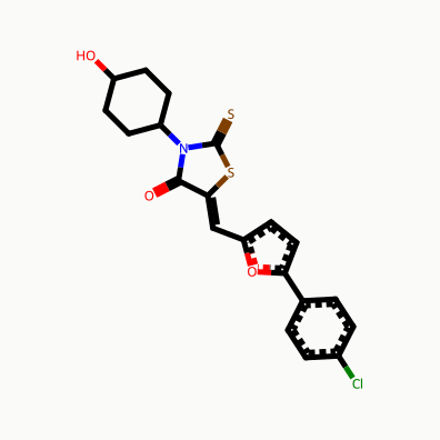 O=C1C(=Cc2ccc(-c3ccc(Cl)cc3)o2)SC(=S)N1C1CCC(O)CC1